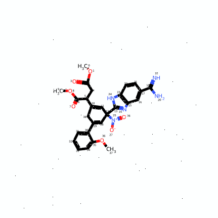 COC(=O)CC(C(=O)OC)C1=CC(c2nc3cc(C(=N)N)ccc3[nH]2)([N+](=O)[O-])C=C(c2ccccc2OC)C1